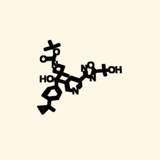 CC(C)(C)OC(=O)N1CC(C)([C@](O)(c2ccc(C3(C)CC3)cc2)c2cncc(-c3noc(C(C)(C)O)n3)c2)C1